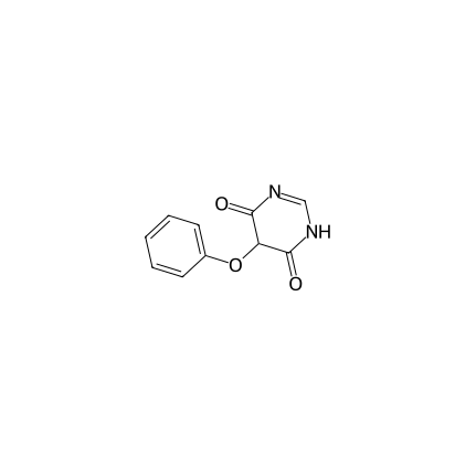 O=C1N=CNC(=O)C1Oc1ccccc1